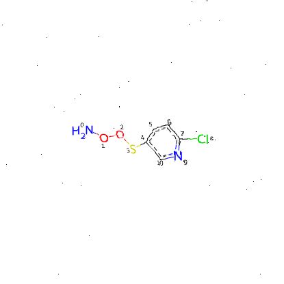 NOOSc1ccc(Cl)nc1